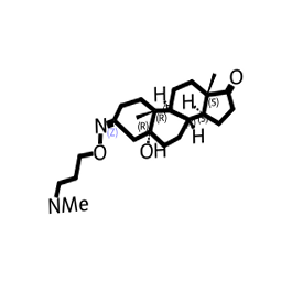 CNCCCO/N=C1/CC[C@]2(C)[C@H]3CC[C@]4(C)C(=O)CC[C@H]4[C@@H]3CC[C@@]2(O)C1